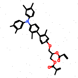 C=CC(=O)OC(COC(=O)C(=C)C)COc1ccc(-c2ccc(N(c3ccc(C)c(C)c3)c3ccc(C)c(C)c3)cc2C)c(C)c1